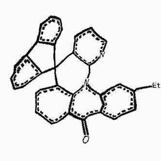 CCc1ccc2c(=O)c3cccc4c3n(c2c1)-c1ncccc1C41c2ccccc2-c2ccccc21